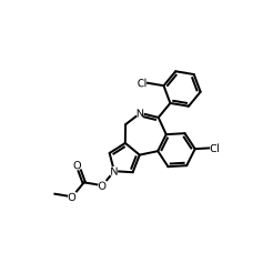 COC(=O)On1cc2c(c1)-c1ccc(Cl)cc1C(c1ccccc1Cl)=NC2